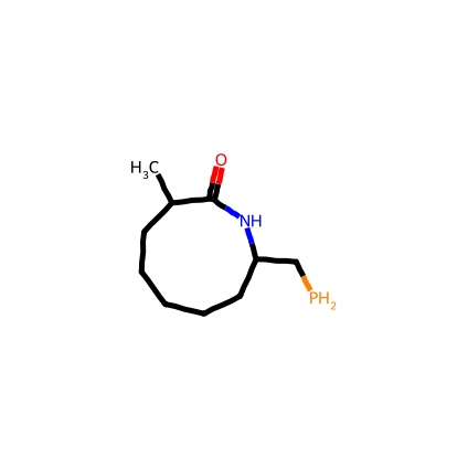 CC1CCCCCC(CP)NC1=O